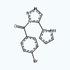 O=C(c1ccc(Br)cc1)n1nncc1-c1ccc[nH]1